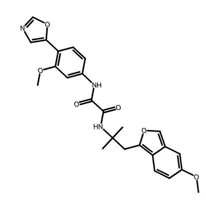 COc1ccc2c(CC(C)(C)NC(=O)C(=O)Nc3ccc(-c4cnco4)c(OC)c3)occ2c1